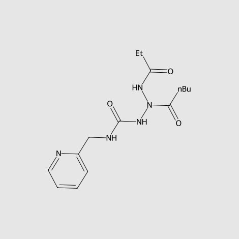 CCCCC(=O)N(NC(=O)CC)NC(=O)NCc1ccccn1